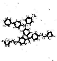 COc1ccc(N(c2ccc(-c3ccccc3)cc2)c2ccc(C(C)(c3ccc(OCc4ccco4)cc3)c3ccc(OCc4ccco4)cc3)cc2)cc1